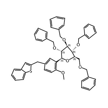 COc1ccc(Cc2cc3ccccc3s2)cc1[C@@H]1O[C@H](COCc2ccccc2)[C@@H](OCc2ccccc2)[C@H](OCc2ccccc2)[C@H]1OCc1ccccc1